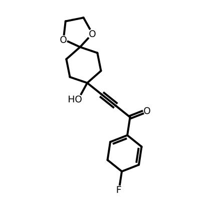 O=C(C#CC1(O)CCC2(CC1)OCCO2)C1=CCC(F)C=C1